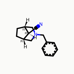 N#C[C@@H]1[C@@H]2CC[C@H]1CN(Cc1ccccc1)C2